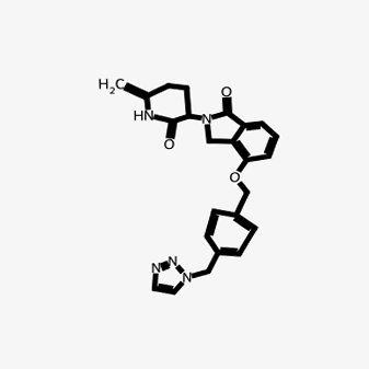 C=C1CCC(N2Cc3c(OCc4ccc(Cn5ccnn5)cc4)cccc3C2=O)C(=O)N1